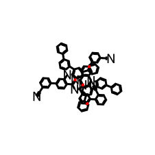 N#Cc1cccc(-c2ccc(-c3nc(-c4cccc(-c5ccccc5C#N)c4)nc(-c4ccc(-c5cccc(C#N)c5)cc4-n4c5ccc(-c6ccccc6)cc5c5cc(-c6ccccc6)ccc54)n3)c(-n3c4ccc(-c5ccccc5)cc4c4cc(-c5ccccc5)ccc43)c2)c1